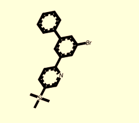 C[Si](C)(C)c1ccc(-c2cc(Br)cc(-c3ccccc3)c2)nc1